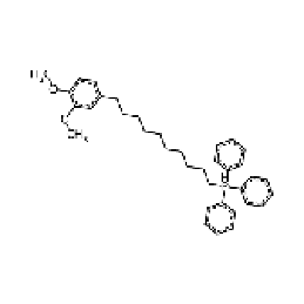 COc1ccc(CCCCCCCCCC[PH](c2ccccc2)(c2ccccc2)c2ccccc2)cc1OC